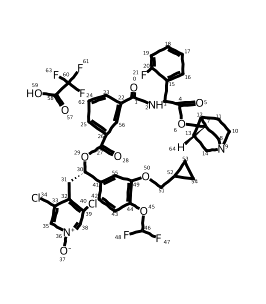 O=C(NC(C(=O)O[C@H]1CN2CCC1CC2)c1ccccc1F)c1cccc(C(=O)O[C@@H](Cc2c(Cl)c[n+]([O-])cc2Cl)c2ccc(OC(F)F)c(OCC3CC3)c2)c1.O=C(O)C(F)(F)F